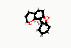 C1=Cc2ccc3oc4ccccc4c3c2OC1